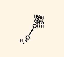 C[C@H](O)[C@H](NC(=O)c1ccc(C#CC#Cc2ccc(N)cc2)cc1)C(=O)NO